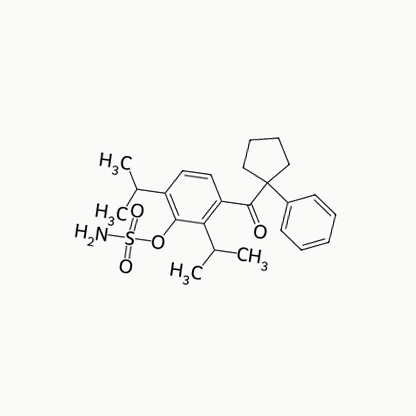 CC(C)c1ccc(C(=O)C2(c3ccccc3)CCCC2)c(C(C)C)c1OS(N)(=O)=O